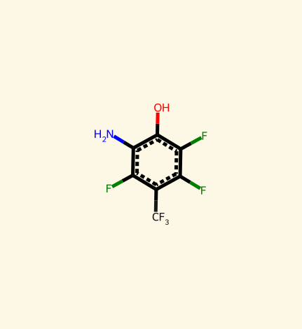 Nc1c(O)c(F)c(F)c(C(F)(F)F)c1F